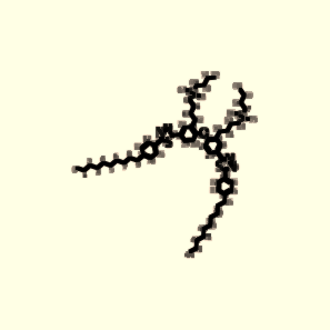 CCCCCCCCCCc1ccc(-c2nnc(-c3ccc(Oc4ccc(-c5nnc(-c6ccc(CCCCCCCCCC)cc6)s5)cc4CCCC[Si](C)(C)CCCC)c(CCCC[Si](C)(C)CCCC)c3)s2)cc1